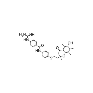 Cc1c(C)c2c(c(C)c1O)C(=O)CC(C)(CCSc1ccc(NC(=O)c3ccc(NC(=N)N)cc3)cc1)O2